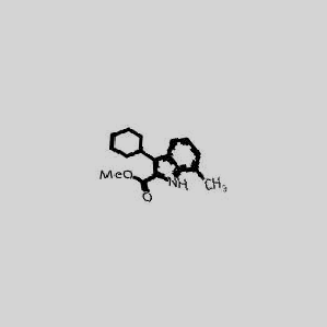 COC(=O)c1[nH]c2c(C)cccc2c1C1CCCCC1